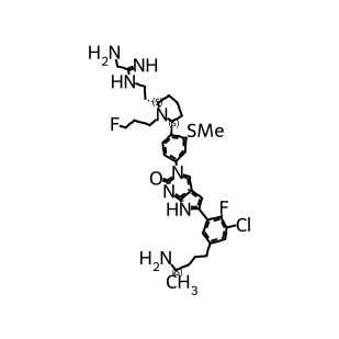 CSc1cc(-n2cc3cc(-c4cc(CCC[C@H](C)N)cc(Cl)c4F)[nH]c3nc2=O)ccc1[C@@H]1CCC[C@@H](CCNC(=N)CN)N1CCCF